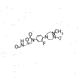 CN1CCN(c2ccc(N3C[C@H](CNC=O)OC3=O)cc2F)CCN1C1CC1